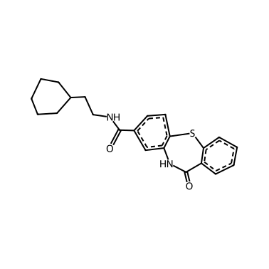 O=C(NCCC1CCCCC1)c1ccc2c(c1)NC(=O)c1ccccc1S2